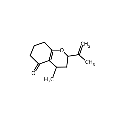 C=C(C)C1CC(C)C2=C(CCCC2=O)O1